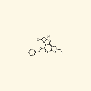 O=C1OC(CI)C/C1=C1\O[C@@H]2CC(=O)N2C1C(=O)OCc1ccccc1